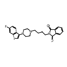 O=C1c2ccccc2C(=O)N1CCCCN1CCN(c2csc3cc(F)ccc23)CC1